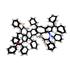 B1C2C3=C(CC4C5BC6Sc7ccccc7C6C(Cc6ccccc6)C6=C5C(=CC(/C(=C/c5ccccc5)C5=CC=CCC5)C6)C(C5C=CCCC5)C4C3)C(C3CCCCC3)CC3=CC(C(C4=CCCC=C4)C4C=CC=CC4)CC(=C32)N(C2CC=CCC2)C2c3ccccc3SC12